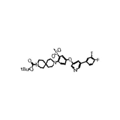 CC(C)(C)OC(=O)N1CCC2(CC1)CCN(c1ccc(Oc3cncc(-c4ccc(F)c(F)c4)c3)cc1S(C)(=O)=O)CC2